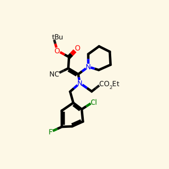 CCOC(=O)CN(Cc1cc(F)ccc1Cl)/C(=C(\C#N)C(=O)OC(C)(C)C)N1CCCCC1